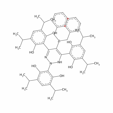 CC(C)c1cc(C(C)C)c(O)c(C2=NN(c3c(O)c(C(C)C)cc(C(C)C)c3O)NC(c3c(O)c(C(C)C)cc(C(C)C)c3O)=[C]2[Zr]([CH2]c2ccccc2)[CH2]c2ccccc2)c1O